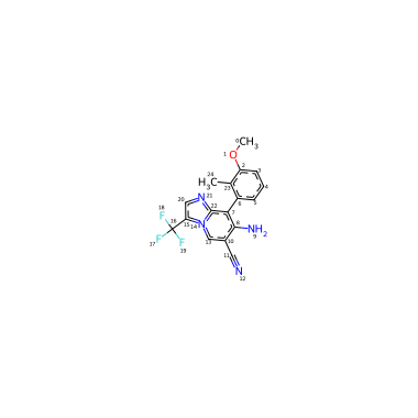 COc1cccc(-c2c(N)c(C#N)cn3c(C(F)(F)F)cnc23)c1C